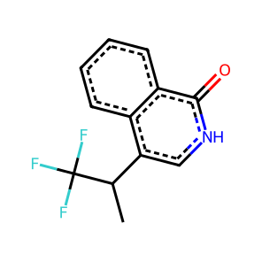 CC(c1c[nH]c(=O)c2ccccc12)C(F)(F)F